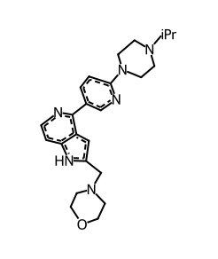 CC(C)N1CCN(c2ccc(-c3nccc4[nH]c(CN5CCOCC5)cc34)cn2)CC1